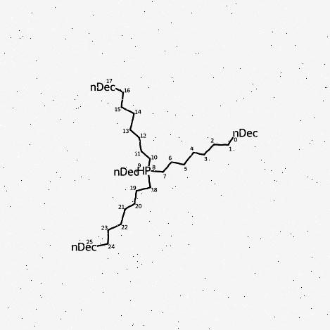 CCCCCCCCCCCCCCCCC[PH](CCCCCCCCCC)(CCCCCCCCCCCCCCCCC)CCCCCCCCCCCCCCCCC